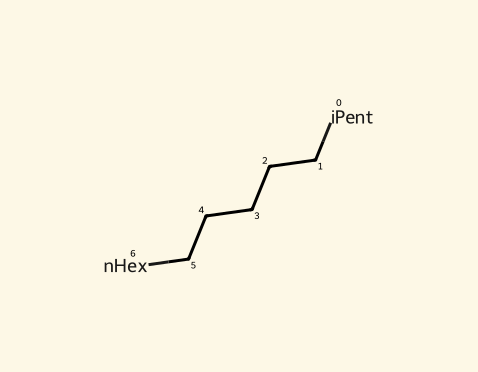 [CH2]C(CCC)CCCCCCCCCCC